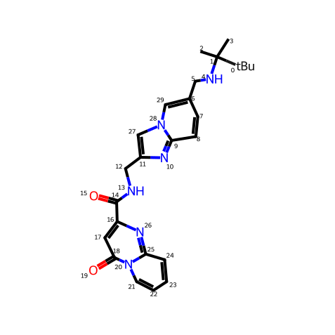 CC(C)(C)C(C)(C)NCc1ccc2nc(CNC(=O)c3cc(=O)n4ccccc4n3)cn2c1